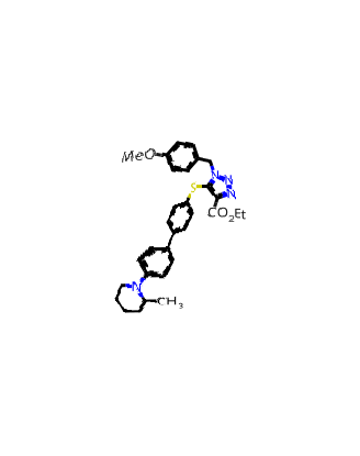 CCOC(=O)c1nnn(Cc2ccc(OC)cc2)c1Sc1ccc(-c2ccc(N3CCCCC3C)cc2)cc1